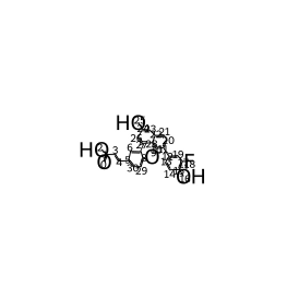 O=C(O)C=Cc1ccc(Oc2c(-c3ccc(O)c(F)c3)ccc3cc(O)ccc23)cc1